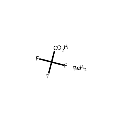 O=C(O)C(F)(F)F.[BeH2]